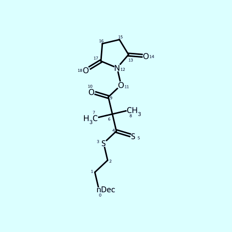 CCCCCCCCCCCCSC(=S)C(C)(C)C(=O)ON1C(=O)CCC1=O